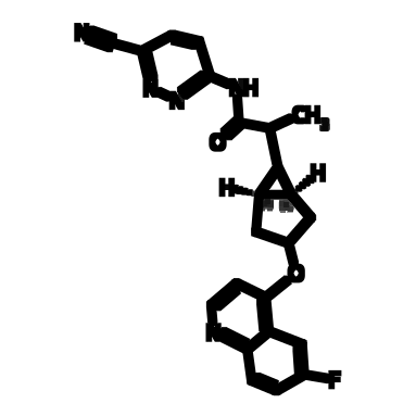 CC(C(=O)Nc1ccc(C#N)nn1)C1[C@H]2CC(Oc3ccnc4ccc(F)cc34)C[C@@H]12